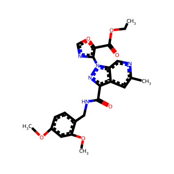 CCOC(=O)c1ocnc1-n1nc(C(=O)NCc2ccc(OC)cc2OC)c2cc(C)ncc21